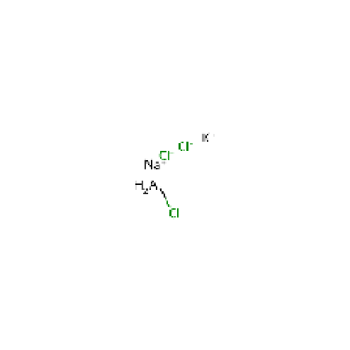 [AlH2][Cl].[Cl-].[Cl-].[K+].[Na+]